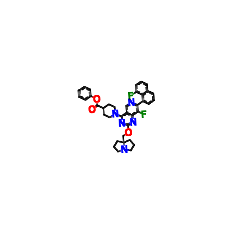 O=C(Oc1ccccc1)C1CCN(c2nc(OCC34CCCN3CCC4)nc3c(F)c(-c4cccc5cccc(F)c45)ncc23)CC1